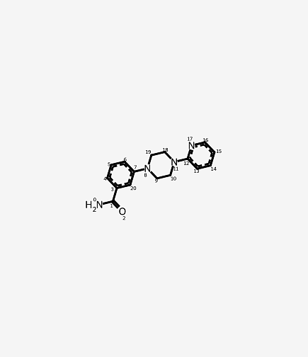 NC(=O)c1cccc(N2CCN(c3ccccn3)CC2)c1